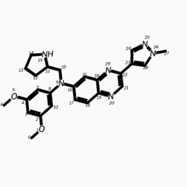 COc1cc(OC)cc(N(CC2CCCN2)c2ccc3ncc(-c4cnn(C)c4)nc3c2)c1